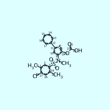 Cc1cc(S(=O)(=O)N(C)c2cc(-c3ccccc3)sc2OC(=O)O)c(C)cc1Cl